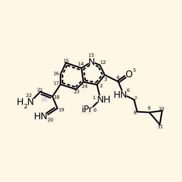 CC(C)Nc1c(C(=O)NCCC2CC2)cnc2ccc(/C(C=N)=C/N)cc12